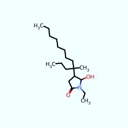 CCCCCCCCC(C)(CCC)C1CC(=O)N(CC)C1O